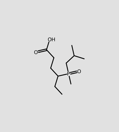 CCC(CCC(=O)O)P(C)(=O)CC(C)C